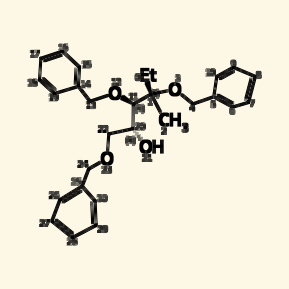 CC[C@](C)(OCc1ccccc1)[C@H](OCc1ccccc1)[C@H](O)COCc1ccccc1